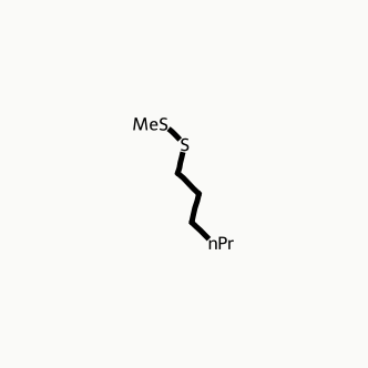 CCCCCCSSC